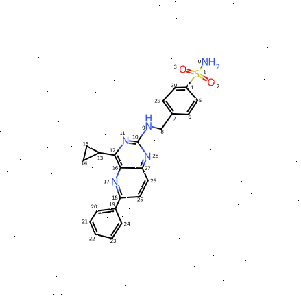 NS(=O)(=O)c1ccc(CNc2nc(C3CC3)c3nc(-c4ccccc4)ccc3n2)cc1